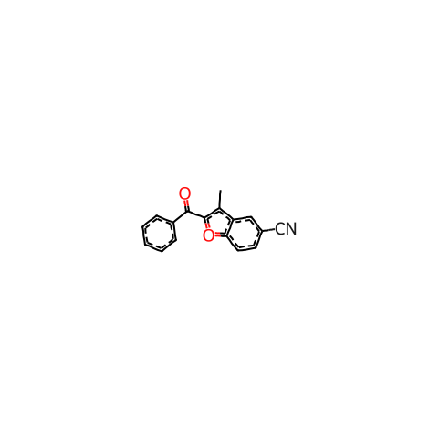 Cc1c(C(=O)c2ccccc2)oc2ccc(C#N)cc12